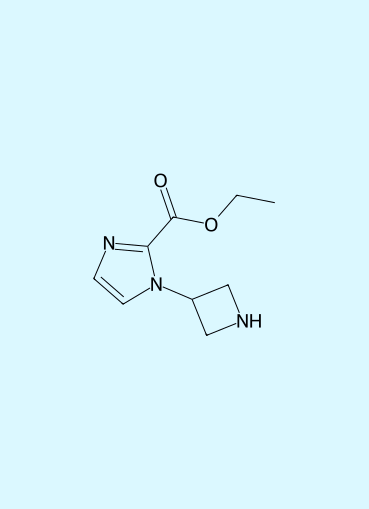 CCOC(=O)c1nccn1C1CNC1